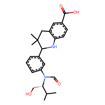 CC(C)[C@H](CO)N(C=O)c1cccc(C2Nc3ccc(C(=O)O)cc3CC2(C)C)c1